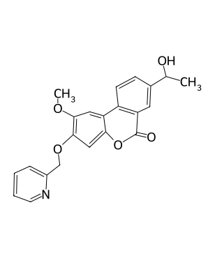 COc1cc2c(cc1OCc1ccccn1)oc(=O)c1cc(C(C)O)ccc12